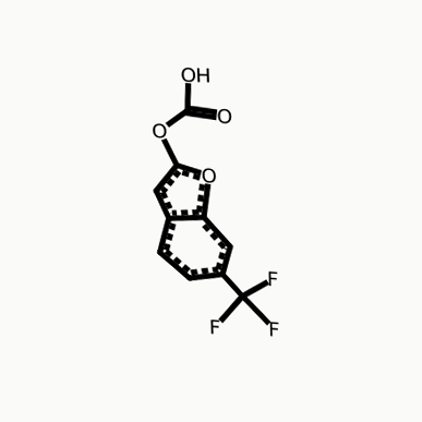 O=C(O)Oc1cc2ccc(C(F)(F)F)cc2o1